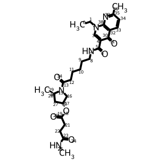 CCn1cc(C(=O)NCCCCCC(=O)N2C[C@H](OC(=O)CCC(=O)NC)C[C@H]2C)c(=O)c2ccc(C)nc21